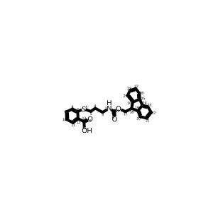 O=C(NCCCSc1ccccc1C(=O)O)OCC1c2ccccc2-c2ccccc21